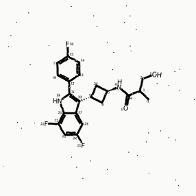 CC(CO)C(=O)N[C@H]1C[C@H](c2c(-c3ccc(F)cc3)[nH]c3c(F)cc(F)cc32)C1